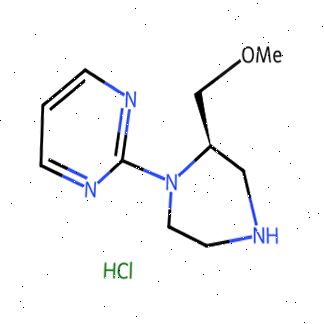 COC[C@H]1CNCCN1c1ncccn1.Cl